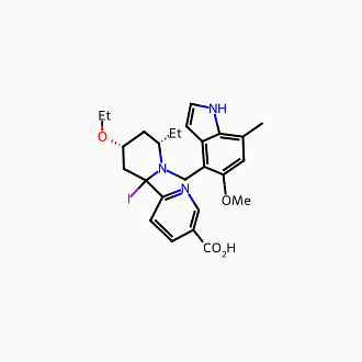 CCO[C@@H]1C[C@H](CC)N(Cc2c(OC)cc(C)c3[nH]ccc23)C(I)(c2ccc(C(=O)O)cn2)C1